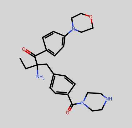 CCC(N)(Cc1ccc(C(=O)N2CCNCC2)cc1)C(=O)c1ccc(N2CCOCC2)cc1